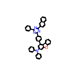 c1ccc(-c2nc(-c3ccc(-c4cc(N(c5ccccc5)c5ccccc5)cc5oc6ccccc6c45)cc3)nc(-c3ccc4ccccc4c3)n2)cc1